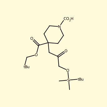 CC(C)(C)COC(=O)C1(CC(=O)CO[Si](C)(C)C(C)(C)C)CCN(C(=O)O)CC1